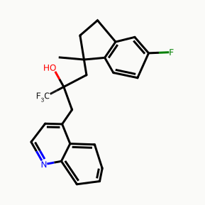 CC1(CC(O)(Cc2ccnc3ccccc23)C(F)(F)F)CCc2cc(F)ccc21